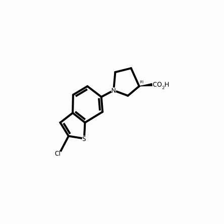 O=C(O)[C@@H]1CCN(c2ccc3cc(Cl)sc3c2)C1